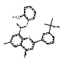 Cc1cc(C(C)Nc2ccccc2C(=O)O)c2oc(-c3cccc(C(C)(C)C#N)c3)cc(=O)c2c1